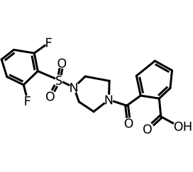 O=C(O)c1ccccc1C(=O)N1CCN(S(=O)(=O)c2c(F)cccc2F)CC1